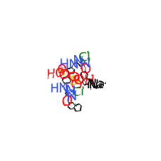 O=S(=O)(O)c1cc(Nc2cc(Oc3ccc4ccccc4c3)nc(Cl)n2)ccc1-c1ccc(Nc2cc(Oc3ccc4ccccc4c3)nc(Cl)n2)cc1S(=O)(=O)O.[Na].[Na]